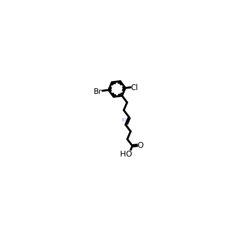 O=C(O)CC/C=C/CCc1cc(Br)ccc1Cl